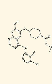 COc1cc2ncnc(Nc3cccc(Cl)c3F)c2cc1OC1CCN(C(=O)OC(C)(C)C)CC1